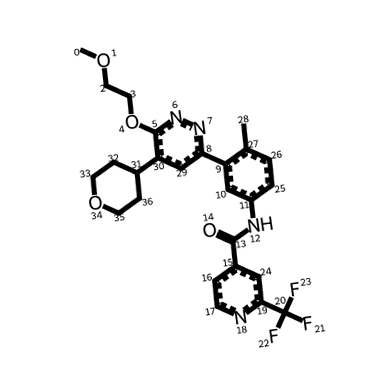 COCCOc1nnc(-c2cc(NC(=O)c3ccnc(C(F)(F)F)c3)ccc2C)cc1C1CCOCC1